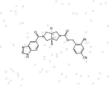 CC(C)c1cc(C#N)ccc1COC(=O)N1C[C@@H]2CN(C(=O)c3ccc4[nH]nnc4c3)C[C@H]2C1